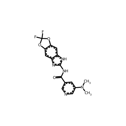 CN(C)c1cncc(C(=O)Nc2nc3cc4c(cc3[nH]2)OC(F)(F)O4)c1